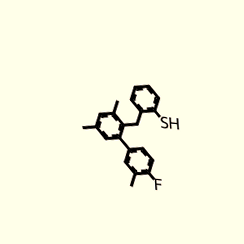 Cc1cc(C)c(Cc2ccccc2S)c(-c2ccc(F)c(C)c2)c1